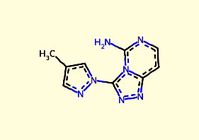 Cc1cnn(-c2nnc3ccnc(N)n23)c1